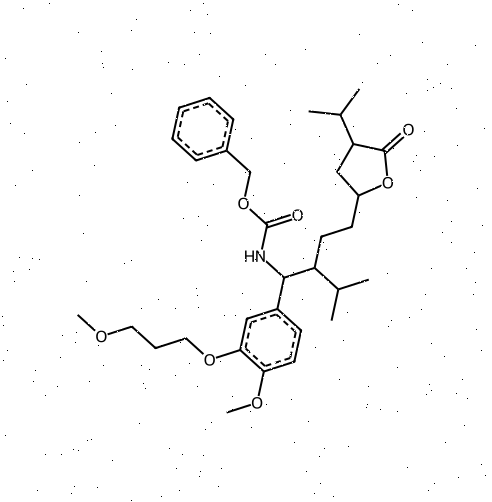 COCCCOc1cc(C(NC(=O)OCc2ccccc2)C(CCC2CC(C(C)C)C(=O)O2)C(C)C)ccc1OC